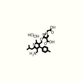 Cc1ccc(-c2c(COc3nn(CC(=O)O)cc3C(=O)O)c(C)nc(CC(C)C)c2CN)cc1.Cl.Cl